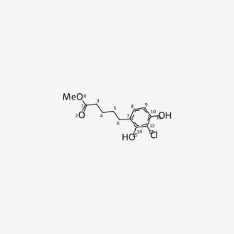 COC(=O)CCCCc1ccc(O)c(Cl)c1O